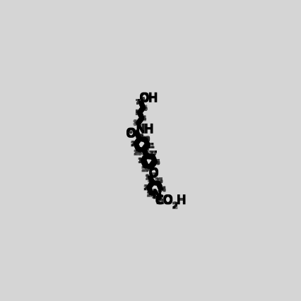 O=C(NCCCCCO)C1CC=C(c2ccc(OCC3CCN(C(=O)O)CC3)cc2)CC1